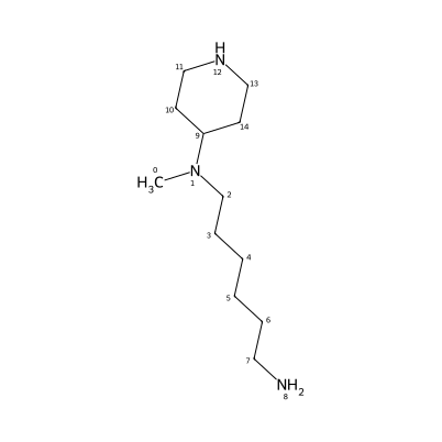 CN(CCCCCCN)C1CCNCC1